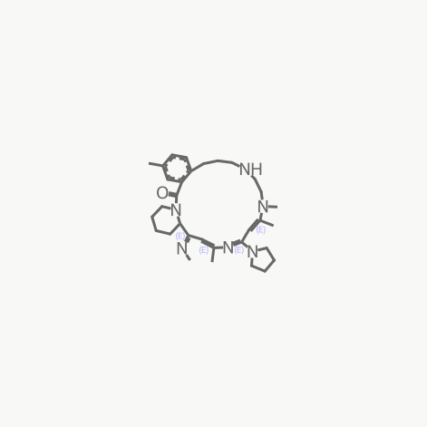 C\N=C1/C=C(C)/N=C(N2CCCC2)\C=C(/C)N(C)CCNCCCc2ccc(C)cc2C(=O)N2CCCCC12